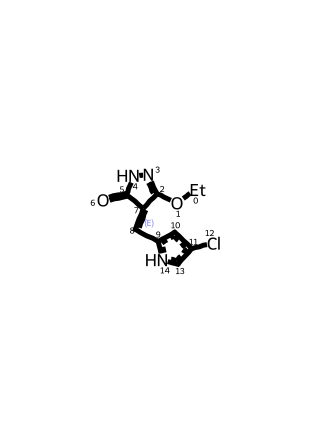 CCOC1=NNC(=O)/C1=C/c1cc(Cl)c[nH]1